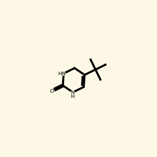 CC(C)(C)C1=CNC(=O)NC1